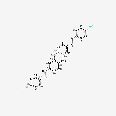 Fc1ccc(/C=C/c2ccc3cc4cc(/C=C/c5ccc(F)cc5)ccc4cc3c2)cc1